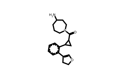 NC1CCCN(C(=O)C2CC2c2ccccc2C2=COCC2)CC1